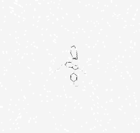 CCOCc1nn2c(-c3cccc(Cl)c3)cc(N(C)CCO)nc2c1-c1ccc2c(c1)OCO2